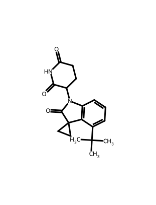 CC(C)(C)c1cccc2c1C1(CC1)C(=O)N2C1CCC(=O)NC1=O